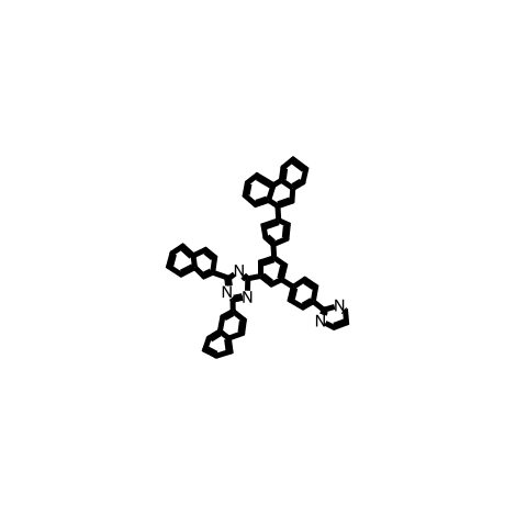 c1cnc(-c2ccc(-c3cc(-c4ccc(-c5cc6ccccc6c6ccccc56)cc4)cc(-c4nc(-c5ccc6ccccc6c5)nc(-c5ccc6ccccc6c5)n4)c3)cc2)nc1